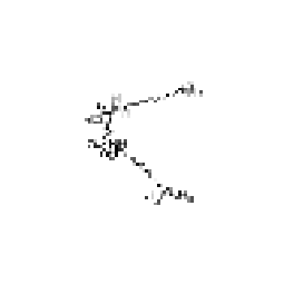 CNCCCCCCCCCCCC(=O)NC(CSSCC(NC(=O)CCCCCCCCCCCN(C)C)C(=O)O)C(=O)O